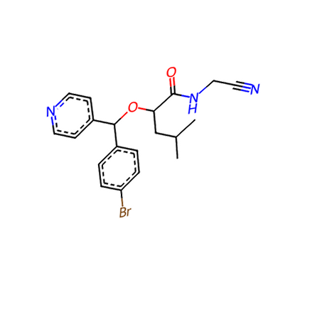 CC(C)CC(OC(c1ccncc1)c1ccc(Br)cc1)C(=O)NCC#N